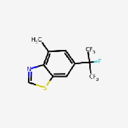 Cc1cc(C(F)(C(F)(F)F)C(F)(F)F)cc2s[c]nc12